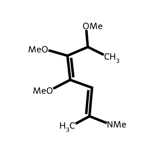 CN/C(C)=C/C(OC)=C(/OC)C(C)OC